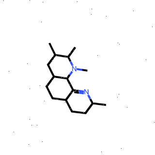 CC1CCC2CCC3CC(C)C(C)N(C)C3C2=N1